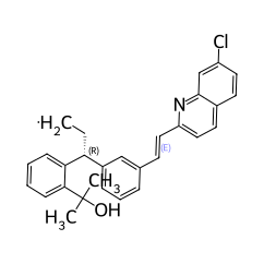 [CH2]C[C@H](c1cccc(/C=C/c2ccc3ccc(Cl)cc3n2)c1)c1ccccc1C(C)(C)O